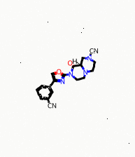 N#Cc1cccc(-c2coc(N3CCN4CCN(C#N)C[C@@H]4C3=O)n2)c1